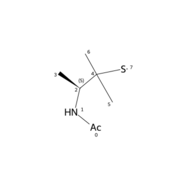 CC(=O)N[C@@H](C)C(C)(C)[S]